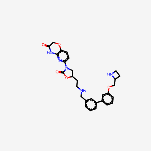 O=C1COc2ccc(N3CC(CCNCc4cccc(-c5cccc(OCC6CCN6)c5)c4)OC3=O)nc2N1